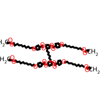 C=CC(=O)OCCCCCCCCCCCOc1ccc(C(=O)Oc2ccc(OC(=O)c3ccc(OCCCCCCCCCCCOC(=O)C=C)cc3)c(CCCCCCc3cc(OC(=O)c4ccc(OCCCCCCCCCCCOC(=O)C=C)cc4)ccc3OC(=O)c3ccc(OCCCCCCCCCCCOC(=O)C=C)cc3)c2)cc1